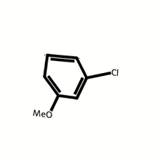 COc1c[c][c]c(Cl)c1